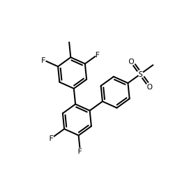 Cc1c(F)cc(-c2cc(F)c(F)cc2-c2ccc(S(C)(=O)=O)cc2)cc1F